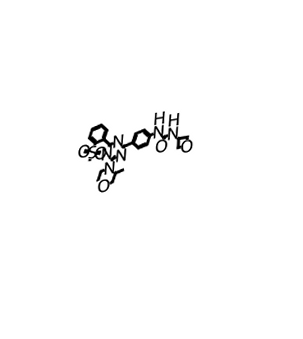 CC1COCCN1c1nc(-c2ccc(NC(=O)NC3COC3)cc2)nc(-c2ccccc2S(C)(=O)=O)n1